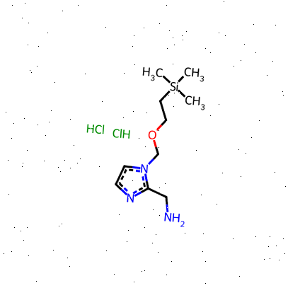 C[Si](C)(C)CCOCn1ccnc1CN.Cl.Cl